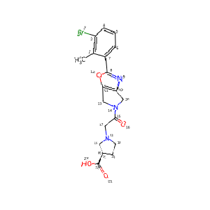 Cc1c(Br)cccc1-c1nc2c(o1)CN(C(=O)CN1CC[C@@H](C(=O)O)C1)C2